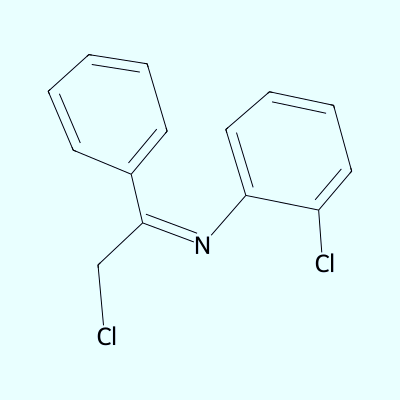 ClC/C(=N/c1ccccc1Cl)c1ccccc1